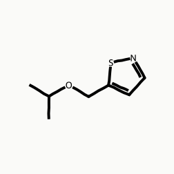 CC(C)OCc1ccns1